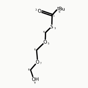 CC(C)(C)C(=O)SCOCOCO